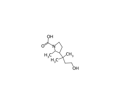 CC1C(C(C)(C)CCO)CCN1C(=O)O